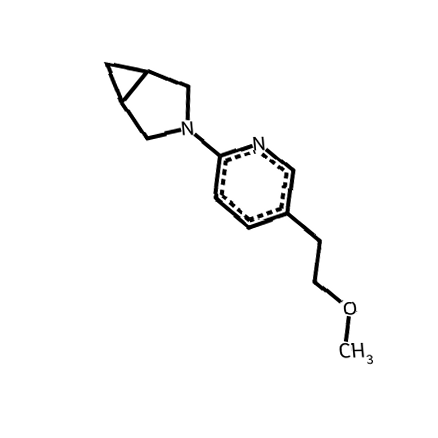 COCCc1ccc(N2CC3CC3C2)nc1